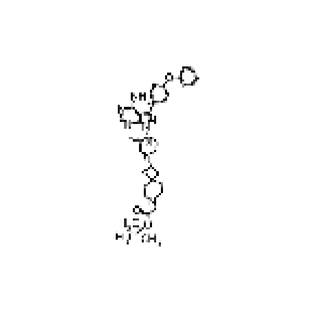 CC(C)(C)OC(=O)CN1CCC2(CC1)CC(N1CC[C@@H](n3nc(-c4ccc(Oc5ccccc5)cc4)c4c(N)ncnc43)[C@H](F)C1)C2